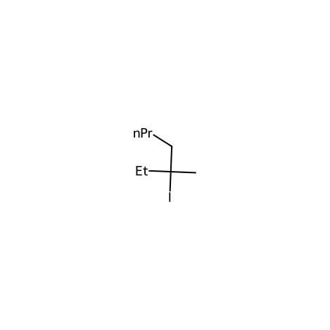 CCCCC(C)(I)CC